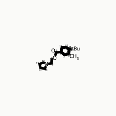 Cc1cc(C(=O)OCCN2CCCC2)ccc1C(C)(C)C